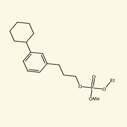 CCOP(=O)(OC)OCCCc1cccc(C2CCCCC2)c1